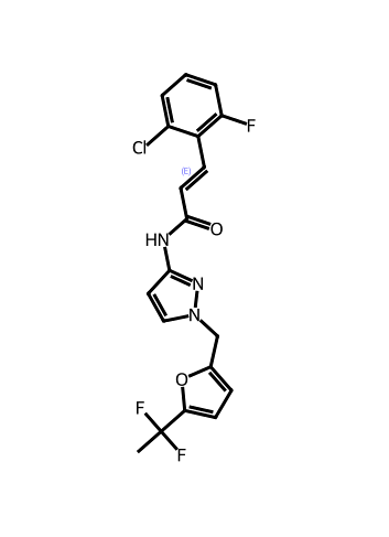 CC(F)(F)c1ccc(Cn2ccc(NC(=O)/C=C/c3c(F)cccc3Cl)n2)o1